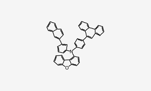 c1cc(-c2ccc3ccccc3c2)cc(N(c2ccc(-c3cc4ccccc4c4ccccc34)cc2)c2cccc3oc4ccccc4c23)c1